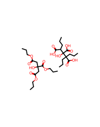 CCCC(C(=O)O)C(O)(C(=O)O)C(CCC)(CCC)C(=O)O.CCCOC(=O)CC(O)(CC(=O)OCCC)C(=O)OCCC